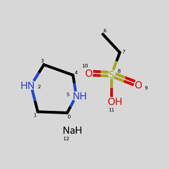 C1CNCCN1.CCS(=O)(=O)O.[NaH]